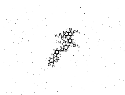 COc1cc(-c2cn(C)c(=O)c3cnc(N(C)C)cc23)cc(OC)c1CN1CCC2(CC1)CN(c1ccc3c(c1)C(=O)N(C1CCC(=O)NC1=O)C3)C2